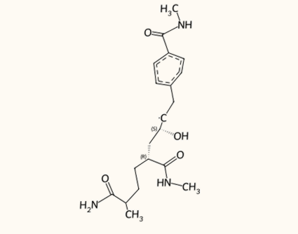 CNC(=O)c1ccc(C[CH][C@H](O)C[C@@H](CCC(C)C(N)=O)C(=O)NC)cc1